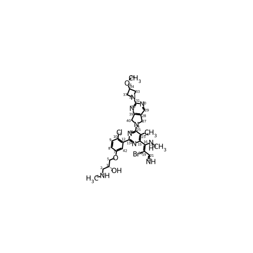 CNC[C@@H](O)COc1ccc(Cl)c(-c2nc(/C(NC)=C(\Br)C=N)c(C)c(N3Cc4cnc(N5CC(OC)C5)nc4C3)n2)c1